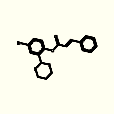 O=C(C=Cc1ccccc1)Oc1ccc(Br)cc1C1SCCCS1